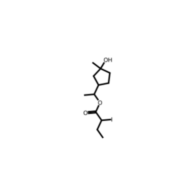 CCC(I)C(=O)OC(C)C1CCC(C)(O)C1